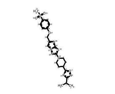 CC(C)c1noc(C2CCN(c3nn4cc(COc5ccc(S(C)(=O)=O)cc5)nc4s3)CC2)n1